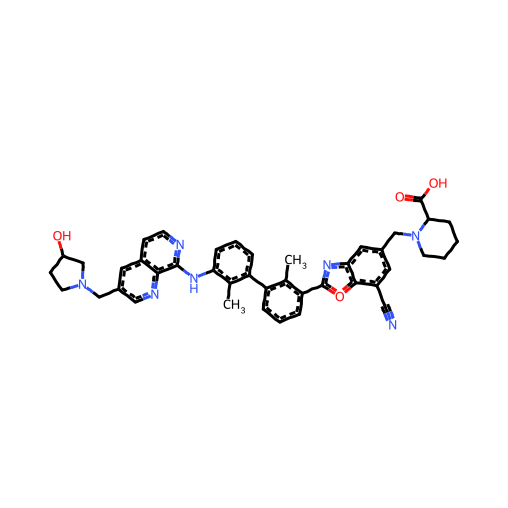 Cc1c(Nc2nccc3cc(CN4CCC(O)C4)cnc23)cccc1-c1cccc(-c2nc3cc(CN4CCCCC4C(=O)O)cc(C#N)c3o2)c1C